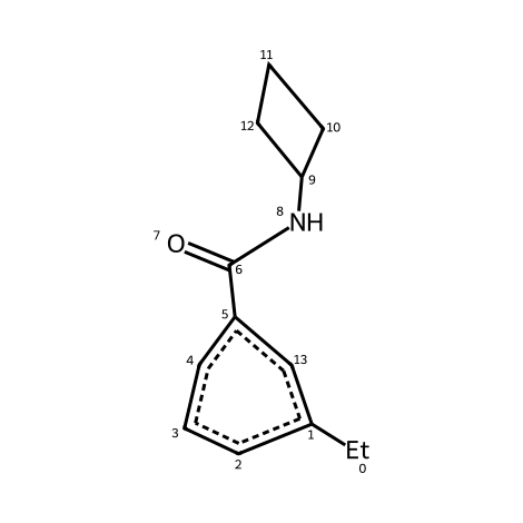 CCc1cccc(C(=O)NC2CCC2)c1